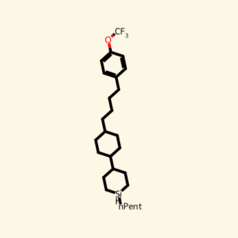 CCCCC[SiH]1CCC(C2CCC(CCCCc3ccc(OC(F)(F)F)cc3)CC2)CC1